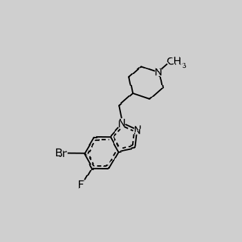 CN1CCC(Cn2ncc3cc(F)c(Br)cc32)CC1